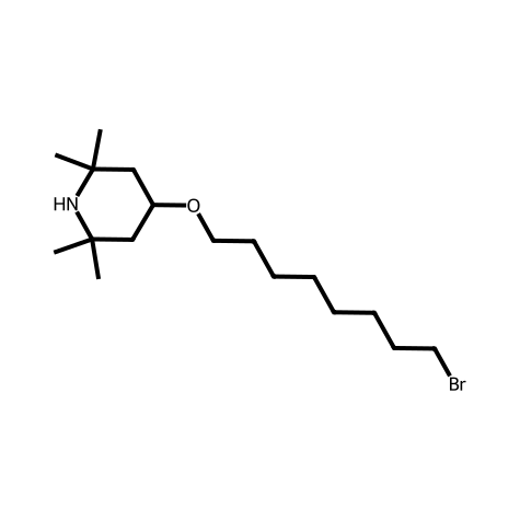 CC1(C)CC(OCCCCCCCCBr)CC(C)(C)N1